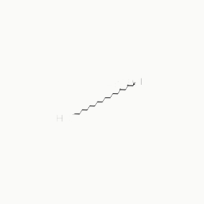 CCCCCCCCCCCCCC(O)CC(=O)CO